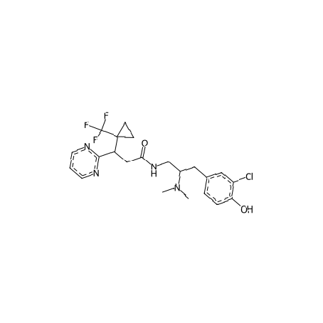 CN(C)C(CNC(=O)CC(c1ncccn1)C1(C(F)(F)F)CC1)Cc1ccc(O)c(Cl)c1